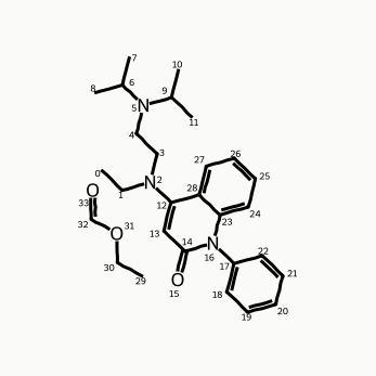 CCN(CCN(C(C)C)C(C)C)c1cc(=O)n(-c2ccccc2)c2ccccc12.CCOC=O